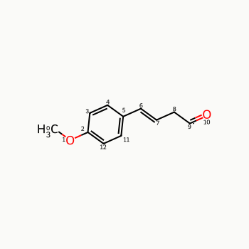 COc1ccc(/C=C/C[C]=O)cc1